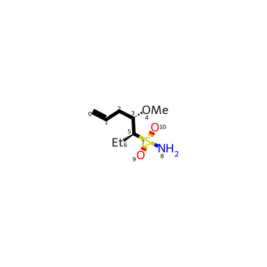 C=CC[C@H](OC)[C@H](CC)S(N)(=O)=O